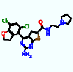 Nc1nc(-c2c(Cl)cc(Cl)c3c2CCO3)c2cc(C(=O)NCCN3CCCC3)sc2n1